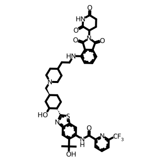 CC(C)(O)c1cc2nc([C@H]3CC[C@H](CN4CCC(CCNc5cccc6c5C(=O)N(C5CCC(=O)NC5=O)C6=O)CC4)CC3O)sc2cc1NC(=O)c1cccc(C(F)(F)F)n1